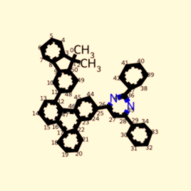 CC1(C)c2ccccc2-c2cc(-c3cccc4c5ccccc5c5cc(-c6cc(-c7ccccc7)nc(-c7ccccc7)n6)ccc5c34)ccc21